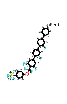 CCCCCc1ccc(-c2ccc(-c3ccc(-c4cc(F)c(C(F)(F)Oc5ccc(S(F)(F)(F)(F)F)cc5)c(F)c4)c(F)c3)c(F)c2)cc1